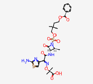 C[C@H]1[C@H](NC(=O)C(=NOC(C)(C)C(=O)O)c2csc(N)n2)C(=O)N1S(=O)(=O)OCC(C)(C)CCOC(=O)c1ccccc1